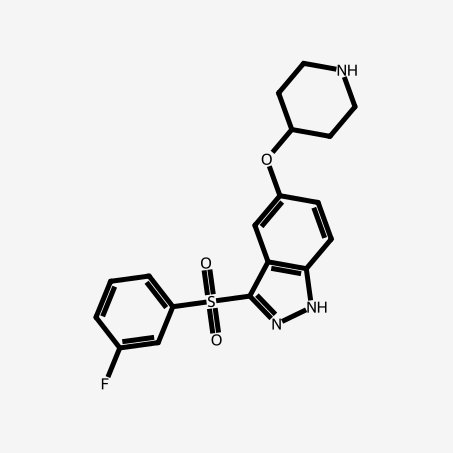 O=S(=O)(c1cccc(F)c1)c1n[nH]c2ccc(OC3CCNCC3)cc12